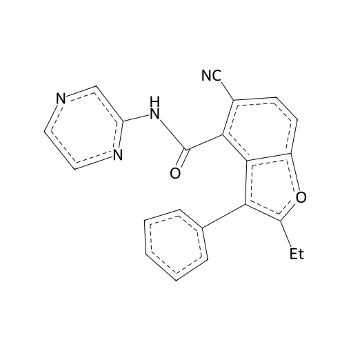 CCc1oc2ccc(C#N)c(C(=O)Nc3cnccn3)c2c1-c1ccccc1